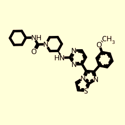 COc1cccc(-c2nc3sccn3c2-c2ccnc(N[C@@H]3CCCN(C(=O)NC4CCCCC4)C3)n2)c1